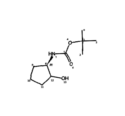 CC(C)(C)OC(=O)N[C@@H]1CCCC1O